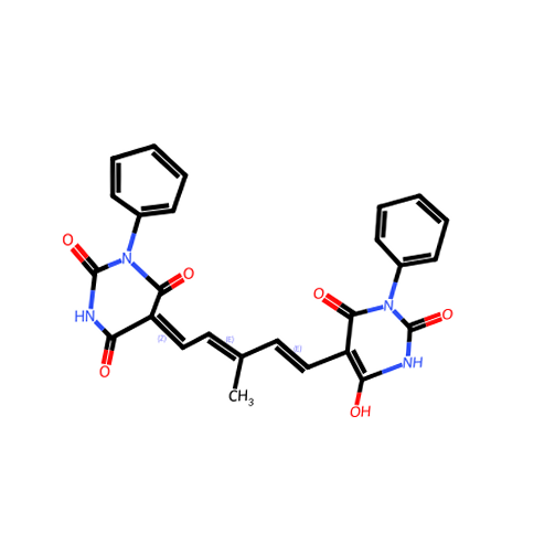 CC(/C=C/c1c(O)[nH]c(=O)n(-c2ccccc2)c1=O)=C\C=C1\C(=O)NC(=O)N(c2ccccc2)C1=O